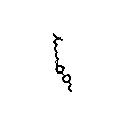 CCC[C@H]1CC[C@H](c2ccc(OCCCCCC[SiH2]I)cc2)CC1